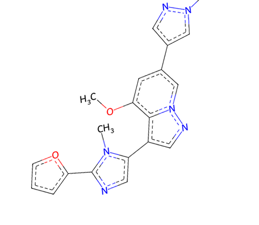 COc1cc(-c2cnn(C)c2)cn2ncc(-c3cnc(-c4ccco4)n3C)c12